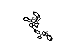 c1ccc(N(c2ccc(-c3cccc4c3-c3ccccc3C43c4ccc5ccccc5c4Oc4c3ccc3ccccc43)cc2)c2ccc3oc4ccccc4c3c2)cc1